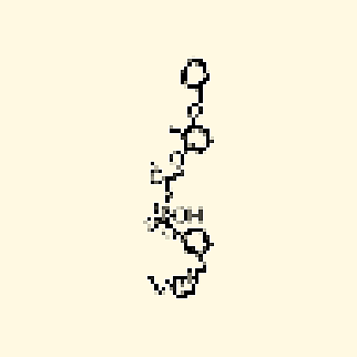 CC[n+]1ccn(Cc2cccc(OP(=O)(O)OCC(COc3cccc(OCc4ccccc4)c3C)OC)c2)c1